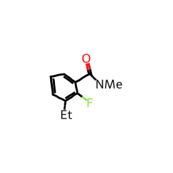 CCc1cccc(C(=O)NC)c1F